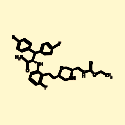 NC(=O)[C@@H](Nc1cccc(F)c1CC[C@@H]1CN[C@H](CNC(=O)OCC(F)(F)F)CO1)C(c1ccc(F)cc1)c1ccc(F)cc1